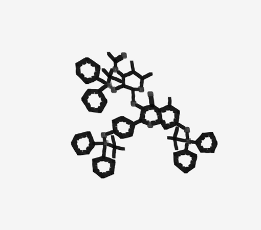 CC(=O)OC1C(C)C(C)OC(Oc2c(-c3ccc(O[Si](c4ccccc4)(c4ccccc4)C(C)(C)C)cc3)oc3cc(O[Si](c4ccccc4)(c4ccccc4)C(C)(C)C)cc(C)c3c2=O)C1O[Si](c1ccccc1)(c1ccccc1)C(C)(C)C